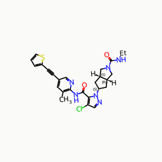 CCNC(=O)N1C[C@H]2C[C@H](n3ncc(Cl)c3C(=O)Nc3ncc(C#Cc4cccs4)cc3C)C[C@H]2C1